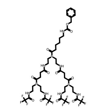 O=C(CCC(=O)N(CCNC(=O)C(F)(F)F)CCNC(=O)C(F)(F)F)NCCN(CCNC(=O)CCC(=O)N(CCNC(=O)C(F)(F)F)CCNC(=O)C(F)(F)F)C(=O)CCCCCNC(=O)OCc1ccccc1